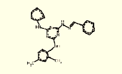 Cc1ccc(Nc2nc(NN=Cc3ccccc3)nc(Nc3ccccc3)n2)c(C)c1